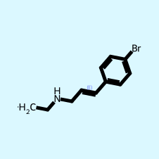 [CH2]CNC/C=C/c1ccc(Br)cc1